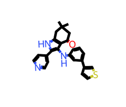 CC1(C)CC(=O)c2c([nH]c(-c3ccncc3)c2Nc2cccc(-c3ccsc3)c2)C1